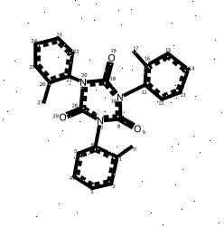 Cc1ccccc1-n1c(=O)n(-c2ccccc2C)c(=O)n(-c2ccccc2C)c1=O